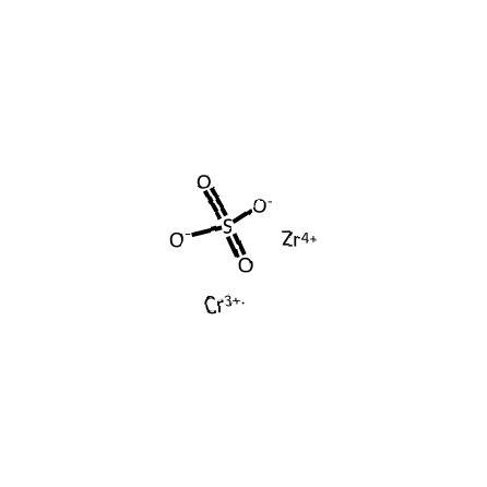 O=S(=O)([O-])[O-].[Cr+3].[Zr+4]